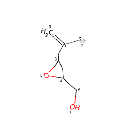 C=C(CC)C1OC1CO